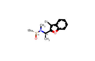 CCc1c([C@@H](C)N(C)[S@+]([O-])C(C)(C)C)oc2ccccc12